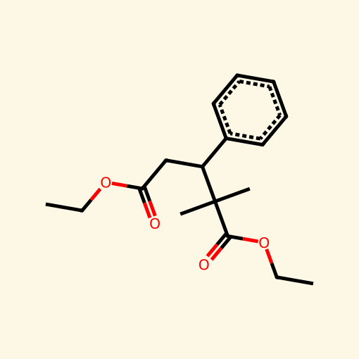 CCOC(=O)CC(c1ccccc1)C(C)(C)C(=O)OCC